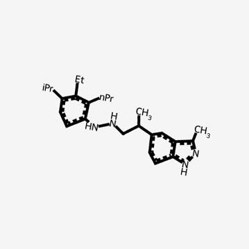 CCCc1c(NNCC(C)c2ccc3[nH]nc(C)c3c2)ccc(C(C)C)c1CC